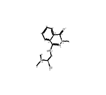 CC[C@H](CNc1nn(C)c(=O)c2ccccc12)N(C)C